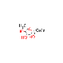 COCC1(CO)CC(O)C(O)C(C)O1